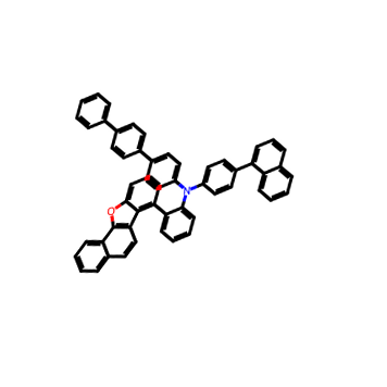 c1ccc(-c2ccc(-c3ccc(N(c4ccc(-c5cccc6ccccc56)cc4)c4ccccc4-c4cccc5oc6c7ccccc7ccc6c45)cc3)cc2)cc1